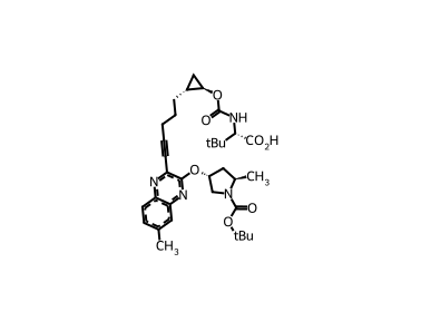 Cc1ccc2nc(C#CCCC[C@@H]3C[C@H]3OC(=O)N[C@H](C(=O)O)C(C)(C)C)c(O[C@@H]3C[C@@H](C)N(C(=O)OC(C)(C)C)C3)nc2c1